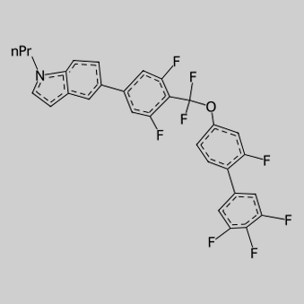 CCCn1ccc2cc(-c3cc(F)c(C(F)(F)Oc4ccc(-c5cc(F)c(F)c(F)c5)c(F)c4)c(F)c3)ccc21